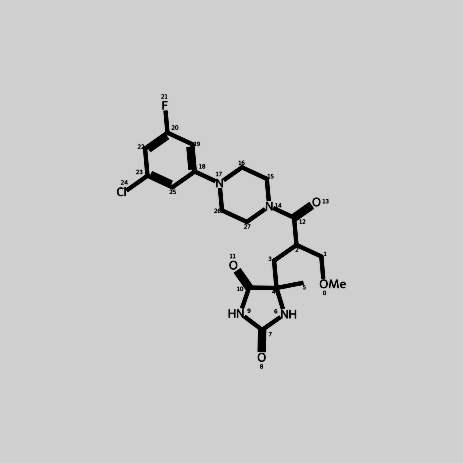 COCC(CC1(C)NC(=O)NC1=O)C(=O)N1CCN(c2cc(F)cc(Cl)c2)CC1